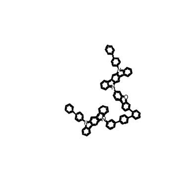 c1ccc(-c2ccc(-n3c4ccccc4c4cc5c(cc43)c3ccccc3n5-c3cccc(-c4ccc(-c5ccccc5-c5ccc6c(c5)oc5cc(-n7c8ccccc8c8cc9c(cc87)c7ccccc7n9-c7ccc(-c8ccccc8)cc7)ccc56)cc4)c3)cc2)cc1